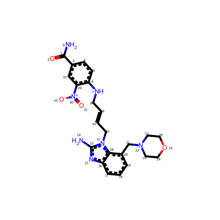 NC(=O)c1ccc(NC/C=C/Cn2c(N)nc3cccc(CN4CCOCC4)c32)c([N+](=O)[O-])c1